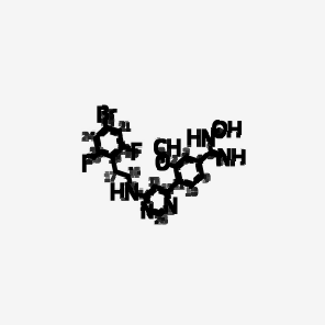 COc1cc(C(=N)NO)ccc1-c1cc(NCCc2c(F)cc(Br)cc2F)ncn1